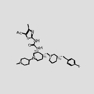 CC(=O)c1sc(NC(=O)N[C@H]2CN(C3CCN(C)CC3)CC[C@H]2CN2CCC[C@@H](Cc3ccc(F)cc3)C2)nc1C